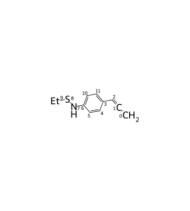 C=C=Cc1ccc(NSCC)cc1